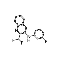 Fc1cccc(Nc2cc3ccccc3nc2C(F)F)c1